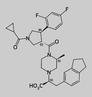 C[C@H]1CN([C@@H](Cc2ccc3c(c2)CCC3)C(=O)O)CCN1C(=O)[C@@H]1CN(C(=O)C2CC2)C[C@H]1c1ccc(F)cc1F